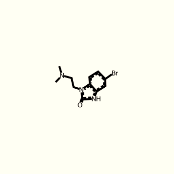 CN(C)CCn1c(=O)[nH]c2cc(Br)ccc21